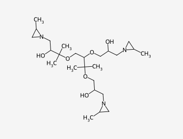 CC1CN1CC(O)COC(COC(C)(C)C(O)CN1CC1C)C(C)(C)OCC(O)CN1CC1C